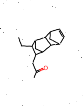 CCC1C(CC(C)=O)C2CC1C1C3C=CC(C3)C21